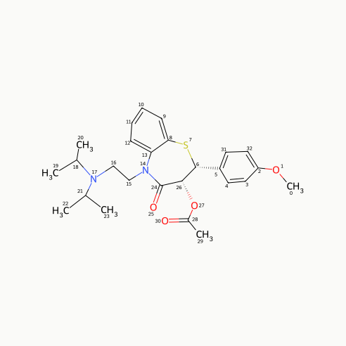 COc1ccc([C@H]2Sc3ccccc3N(CCN(C(C)C)C(C)C)C(=O)[C@H]2OC(C)=O)cc1